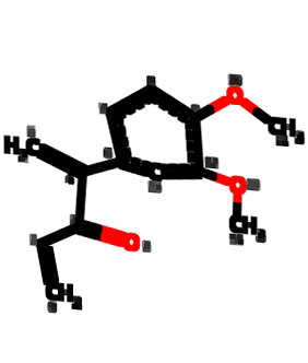 C=CC(=O)C(=C)c1ccc(OC)c(OC)c1